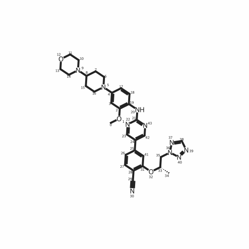 COc1cc(N2CCC(N3CCOCC3)CC2)ccc1Nc1ncc(-c2ccc(C#N)c(O[C@@H](C)Cn3ncnn3)c2)cn1